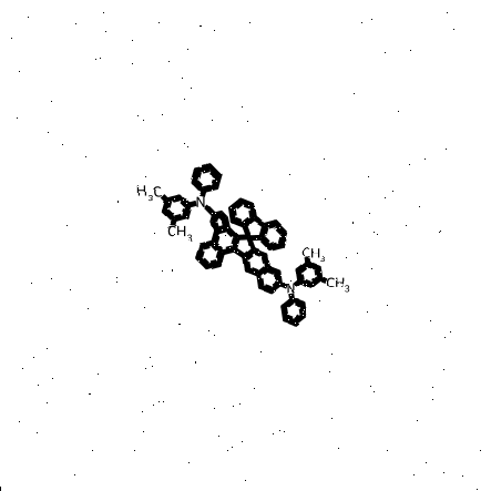 Cc1cc(C)cc(N(c2ccccc2)c2ccc3cc4c(cc3c2)C2(c3ccccc3-c3ccccc32)c2c-4c3ccccc3c3cc(N(c4ccccc4)c4cc(C)cc(C)c4)ccc23)c1